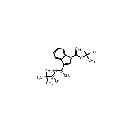 C[C@H](N[S@@+]([O-])C(C)(C)C)c1cn(C(=O)OC(C)(C)C)c2ccccc12